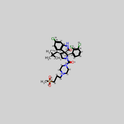 CC(C)(C)C[C@@H]1CN(C(=O)N2CCN(CCCS(C)(=O)=O)CC2)[C@H](c2cccc(Cl)c2F)[C@]12C(=O)Nc1cc(Cl)ccc12